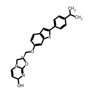 CC(C)c1ccc(-c2cc3ccc(OC[C@@H]4CN5C=CC(O)N=C5O4)cc3s2)cc1